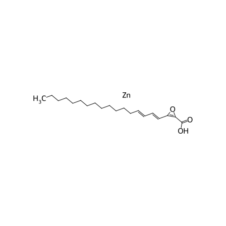 CCCCCCCCCCCCCC=CC=CC1=C(C(=O)O)O1.[Zn]